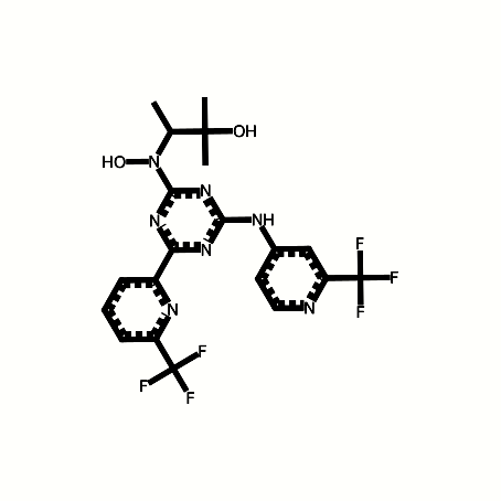 CC(N(O)c1nc(Nc2ccnc(C(F)(F)F)c2)nc(-c2cccc(C(F)(F)F)n2)n1)C(C)(C)O